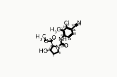 COC(=O)[C@@H]1[C@@H](O)CCN1C(=O)Nc1ccc(C#N)c(Cl)c1C